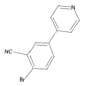 N#Cc1cc(-c2ccncc2)ccc1Br